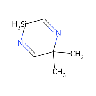 CC1(C)C=N[SiH2]C=N1